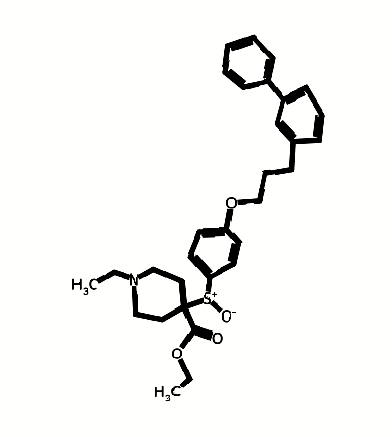 CCOC(=O)C1([S+]([O-])c2ccc(OCCCc3cccc(-c4ccccc4)c3)cc2)CCN(CC)CC1